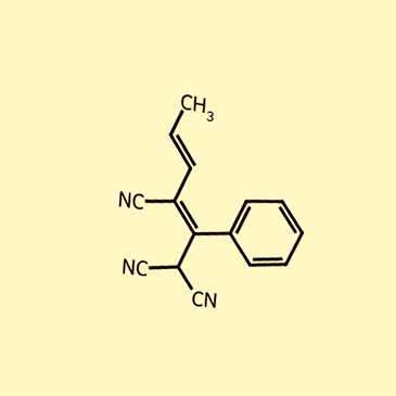 C/C=C/C(C#N)=C(\c1ccccc1)C(C#N)C#N